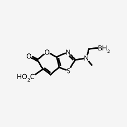 BCN(C)c1nc2oc(=O)c(C(=O)O)cc2s1